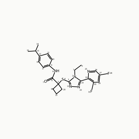 CCn1c(SC2(C(=O)Nc3ccc(C(C)C)cc3)CCC2)nnc1-c1ncc(F)cc1F